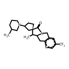 CC1CCCN(C2CC[C@@]3(C2)C(=O)N2Cc4cc(C(F)(F)F)cnc4CC2C3C)C1